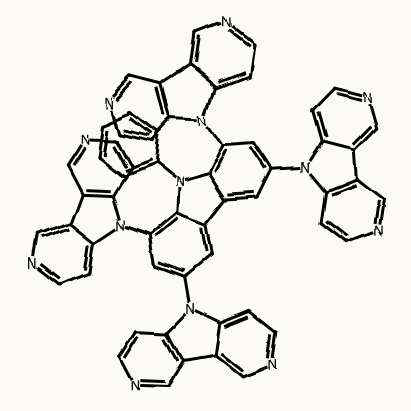 c1ccc(-n2c3c(-n4c5ccncc5c5cnccc54)cc(-n4c5ccncc5c5cnccc54)cc3c3cc(-n4c5ccncc5c5cnccc54)cc(-n4c5ccncc5c5cnccc54)c32)cc1